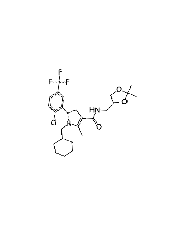 CC1=C(C(=O)NCC2COC(C)(C)O2)CC(c2cc(C(F)(F)F)ccc2Cl)N1CC1CCCCC1